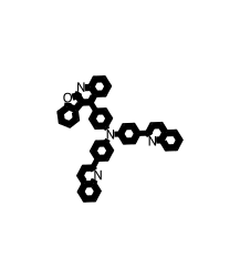 c1ccc2nc(-c3ccc(N(c4ccc(-c5ccc6ccccc6n5)cc4)c4ccc(-c5c6ccccc6nc6oc7ccccc7c56)cc4)cc3)ccc2c1